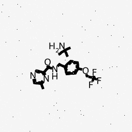 CC(C)(C)N.Cc1cncc(C(=O)NCc2ccc(OCC(F)(F)F)cc2)n1